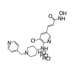 Cl.Cl.Cl.O=C(C=Cc1cnc(NC2CCN(Cc3ccncc3)CC2)c(Cl)c1)NO